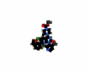 CC(C)c1ccnc(C(C)C)c1-n1c(=O)nc(N2CCN(C(=O)OC(C)(C)C)C[C@@H]2C)c2cc(Cl)c(-c3c(F)ccc4ccoc34)nc21